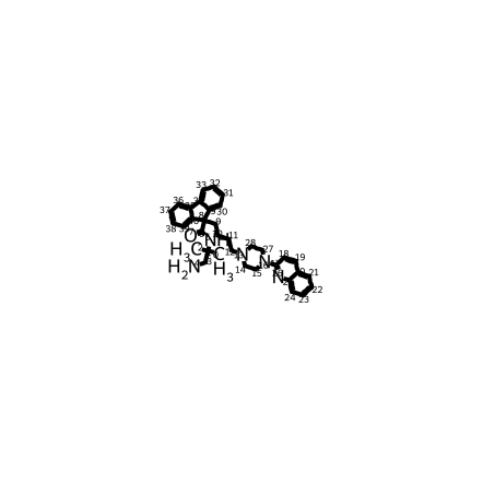 CC(C)(CN)NC(=O)C1(CCCCN2CCN(c3ccc4ccccc4n3)CC2)c2ccccc2-c2ccccc21